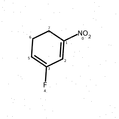 O=[N+]([O-])C1=CC(F)=CC[CH]1